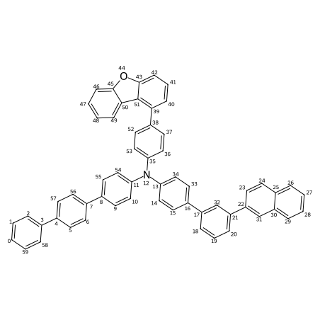 c1ccc(-c2ccc(-c3ccc(N(c4ccc(-c5cccc(-c6ccc7ccccc7c6)c5)cc4)c4ccc(-c5cccc6oc7ccccc7c56)cc4)cc3)cc2)cc1